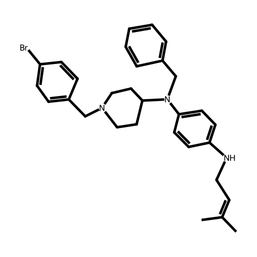 CC(C)=CCNc1ccc(N(Cc2ccccc2)C2CCN(Cc3ccc(Br)cc3)CC2)cc1